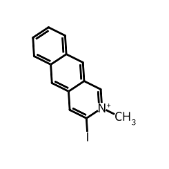 C[n+]1cc2cc3ccccc3cc2cc1I